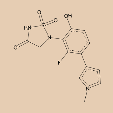 Cn1ccc(-c2ccc(O)c(N3CC(=O)NS3(=O)=O)c2F)c1